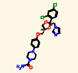 NC(=O)N1CCN(c2ccc(OC[C@@H]3CO[C@@](Cn4ccnc4)(c4ccc(Cl)cc4Cl)O3)cc2)CC1